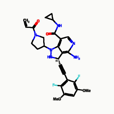 C=CC(=O)N1CCC(N2N[C@@H](C#Cc3c(F)c(OC)cc(OC)c3F)c3c(N)ncc(C(=O)NC4CC4)c32)C1